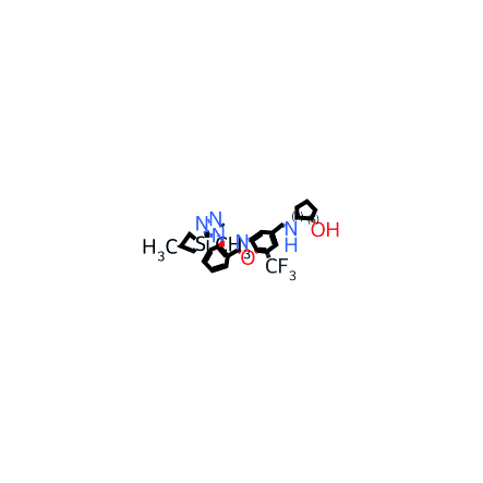 Cn1cnnc1[Si@]1(c2cccc(-c3nc4cc(CN[C@@H]5CCC[C@@H]5O)cc(C(F)(F)F)c4o3)c2)C[C@H](C)C1